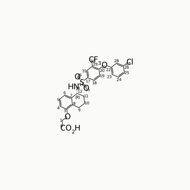 O=C(O)COc1cccc2c1CCC[C@H]2NS(=O)(=O)c1ccc(Oc2cccc(Cl)c2)c(C(F)(F)F)c1